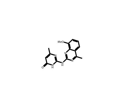 COc1cccc2c(C)nc(Nc3nc(C)cc(=O)[nH]3)nc12